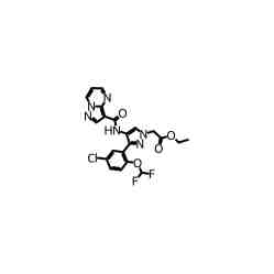 CCOC(=O)Cn1cc(NC(=O)c2cnn3cccnc23)c(-c2cc(Cl)ccc2OC(F)F)n1